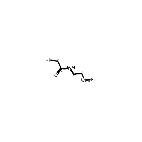 CC(C)NCCNC(=O)CI